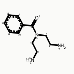 NCCN(CCN)C(=O)c1ccccc1